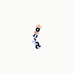 Cc1nccc2nc(NCCN3CCN(S(=O)(=O)c4ccc(S(C)(=O)=O)cc4)CC3)ccc12